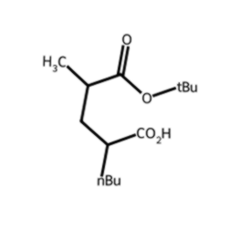 CCCCC(CC(C)C(=O)OC(C)(C)C)C(=O)O